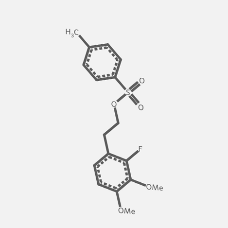 COc1ccc(CCOS(=O)(=O)c2ccc(C)cc2)c(F)c1OC